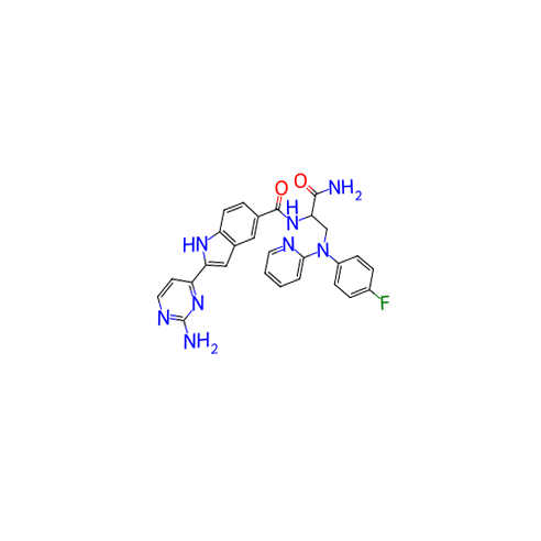 NC(=O)C(CN(c1ccc(F)cc1)c1ccccn1)NC(=O)c1ccc2[nH]c(-c3ccnc(N)n3)cc2c1